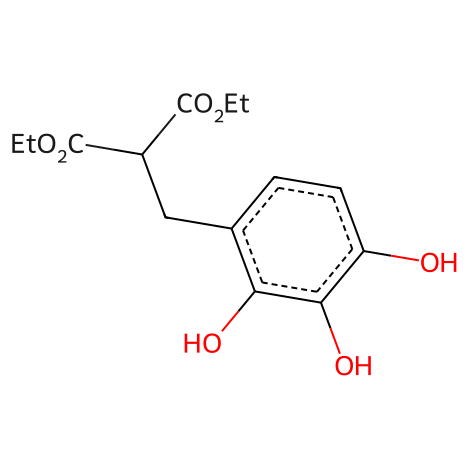 CCOC(=O)C(Cc1ccc(O)c(O)c1O)C(=O)OCC